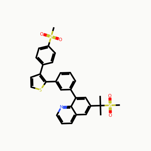 CC(C)(c1cc(-c2cccc(-c3sccc3-c3ccc(S(C)(=O)=O)cc3)c2)c2ncccc2c1)S(C)(=O)=O